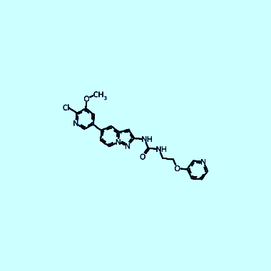 COc1cc(-c2ccn3nc(NC(=O)NCCOc4cccnc4)cc3c2)cnc1Cl